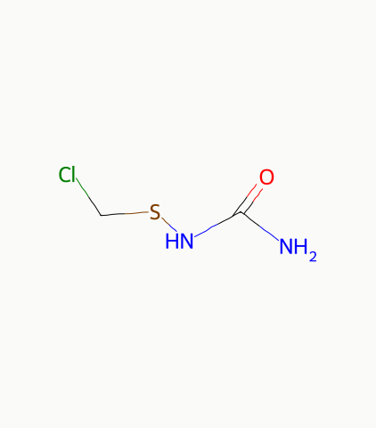 NC(=O)NSCCl